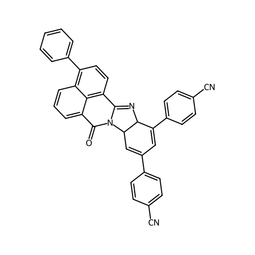 N#Cc1ccc(C2=CC3C(N=c4c5ccc(-c6ccccc6)c6cccc(c(=O)n43)c65)C(c3ccc(C#N)cc3)=C2)cc1